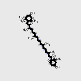 CC(/C=C/C=C(C)/C=C/C12OC1(C)CC(O)CC2(C)C)=C\C=C\C=C(C)\C=C\C=C(/C)C1C=C2C(C)(C)CC(O)CC2(C)O1